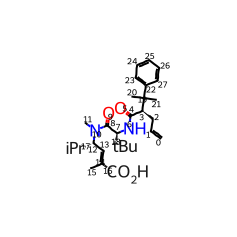 C=CC[C@@H](C(=O)N[C@H](C(=O)N(C)[C@H](C=C(C)C(=O)O)C(C)C)C(C)(C)C)C(C)(C)c1ccccc1